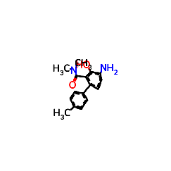 Cc1ccc(-c2ccc(N)c(O)c2C(=O)N(C)C)cc1